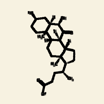 C[C@H](CCC(=O)O)[C@H]1CC[C@H]2[C@@H]3C(=O)[C@H](O)[C@@H]4C[C@H](O)CC[C@]4(C)[C@H]3CC[C@]12C